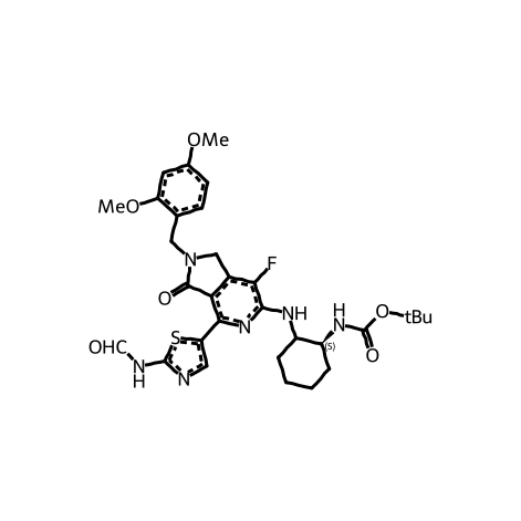 COc1ccc(CN2Cc3c(F)c(NC4CCCC[C@@H]4NC(=O)OC(C)(C)C)nc(-c4cnc(NC=O)s4)c3C2=O)c(OC)c1